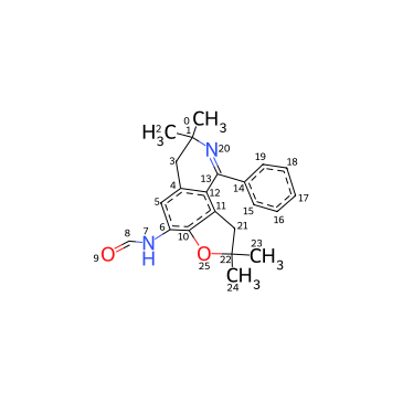 CC1(C)Cc2cc(NC=O)c3c(c2C(c2ccccc2)=N1)CC(C)(C)O3